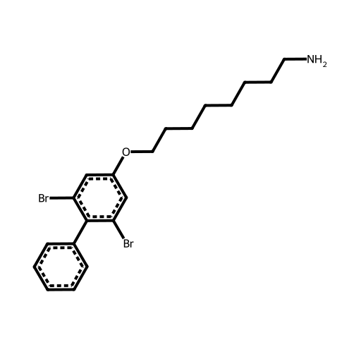 NCCCCCCCCOc1cc(Br)c(-c2ccccc2)c(Br)c1